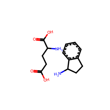 NC(CCC(=O)O)C(=O)O.NC1CCc2ccccc21